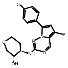 O[C@@H]1COCC[C@H]1Nc1ncc2c(F)cc(-c3ccc(Cl)cc3)n2n1